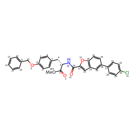 COC(=O)[C@H](Cc1ccc(OCc2ccccc2)cc1)NC(=O)c1cc2cc(-c3ccc(Cl)cc3)ccc2o1